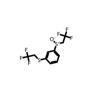 [O-][S+](CC(F)(F)F)c1cccc(SCC(F)(F)F)c1